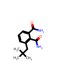 CC(C)(C)Cc1cccc(C(N)=O)c1C(N)=O